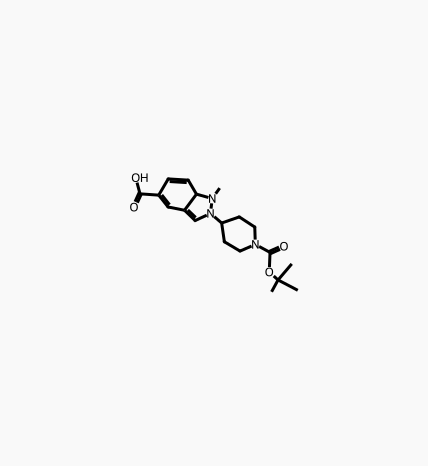 CN1C2C=CC(C(=O)O)=CC2=CN1C1CCN(C(=O)OC(C)(C)C)CC1